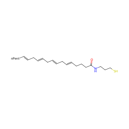 CCCCC/C=C/C/C=C/C/C=C/C/C=C/CCCC(=O)NCCCS